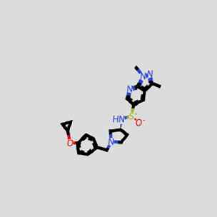 Cc1nn(C)c2ncc([S@+]([O-])N[C@@H]3CCN(Cc4ccc(OC5CC5)cc4)C3)cc12